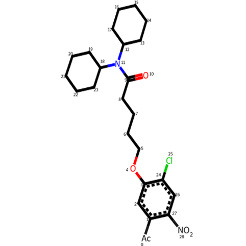 CC(=O)c1cc(OCCCCC(=O)N(C2CCCCC2)C2CCCCC2)c(Cl)cc1[N+](=O)[O-]